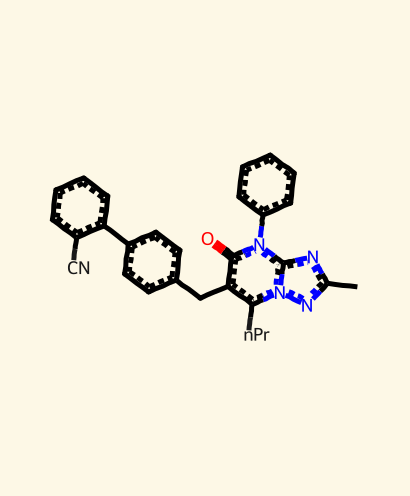 CCCc1c(Cc2ccc(-c3ccccc3C#N)cc2)c(=O)n(-c2ccccc2)c2nc(C)nn12